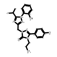 CC(F)c1nc(Cn2nc(-c3ccc(Cl)cc3)n(CCC(F)(F)F)c2=O)nn1-c1ccccc1C#N